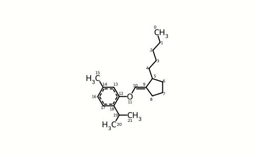 CCCCCC1CCC/C1=C\Oc1cc(C)ccc1C(C)C